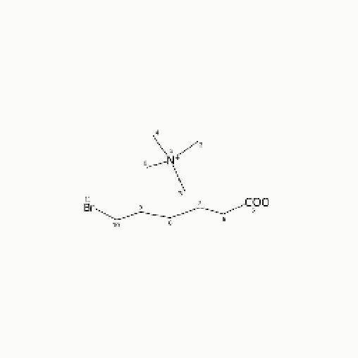 C[N+](C)(C)C.O=C([O-])CCCCCBr